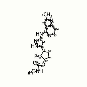 Cc1cc2c(Nc3cc([C@H]4CC[C@@H](OC(=O)NC(C)C)[C@H]4F)[nH]n3)nccn2n1